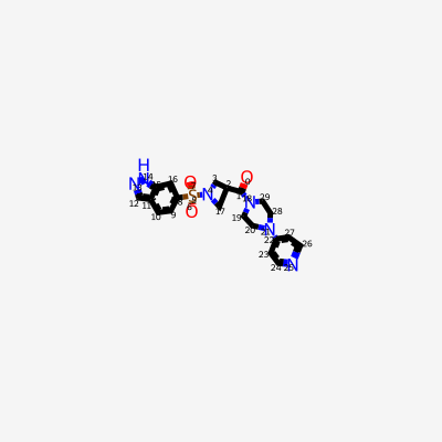 O=C(C1CN(S(=O)(=O)c2ccc3cn[nH]c3c2)C1)N1CCN(c2ccncc2)CC1